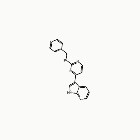 c1cnc2[nH]cc(-c3ccnc(NCc4ccncc4)n3)c2c1